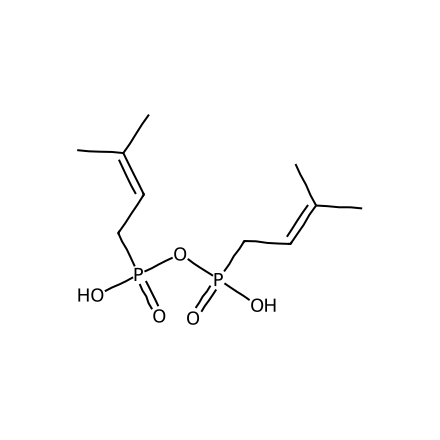 CC(C)=CCP(=O)(O)OP(=O)(O)CC=C(C)C